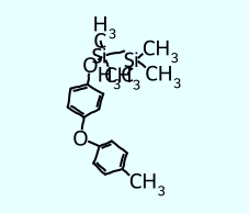 Cc1ccc(Oc2ccc(O[Si](C)(C)C[Si](C)(C)C)cc2)cc1